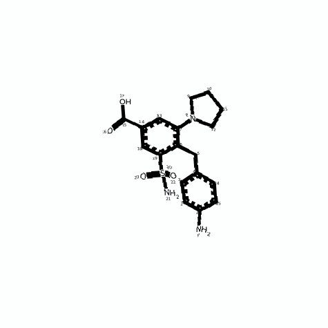 Nc1ccc(Cc2c(N3CCCC3)cc(C(=O)O)cc2S(N)(=O)=O)cc1